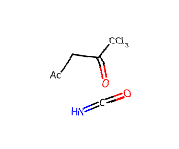 CC(=O)CC(=O)C(Cl)(Cl)Cl.N=C=O